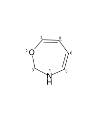 [C]1=COCNC=C1